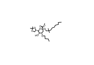 CCCCCCCC(C)(C)CO[C@]1(C(=O)OC)C[C@@H](OCCCC)[C@@H](O)C([C@H]2COC(C)(C)O2)O1